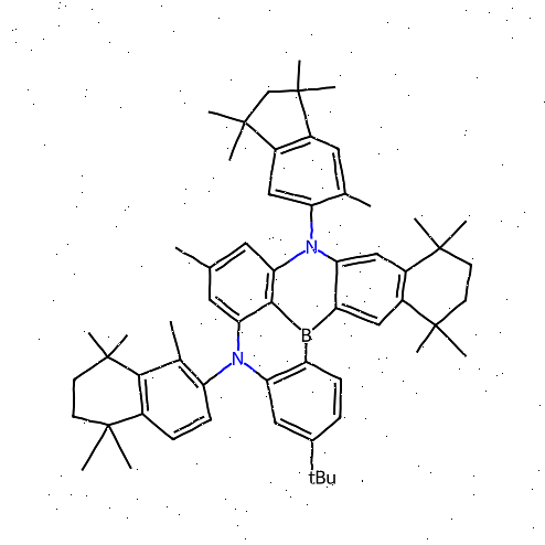 Cc1cc2c3c(c1)N(c1ccc4c(c1C)C(C)(C)CCC4(C)C)c1cc(C(C)(C)C)ccc1B3c1cc3c(cc1N2c1cc2c(cc1C)C(C)(C)CC2(C)C)C(C)(C)CCC3(C)C